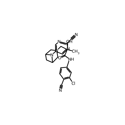 CC(O)(CN1CC2CC(C1)N2c1cnc(C#N)nc1)C(=O)Nc1ccc(C#N)c(Cl)c1